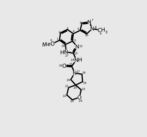 COc1ccc(-c2cnn(C)c2)c2nc(NC(=O)N3CCC4(CCCOC4)C3)[nH]c12